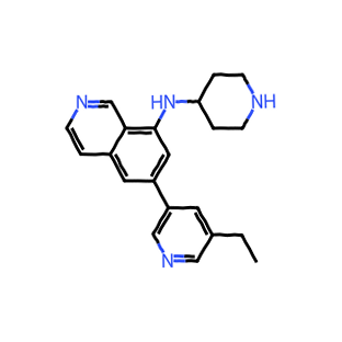 CCc1cncc(-c2cc(NC3CCNCC3)c3cnccc3c2)c1